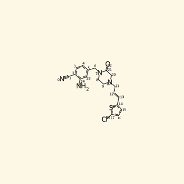 N#Cc1ccc(CN2CCN(C/C=C/c3ccc(Cl)s3)CC2=O)cc1N